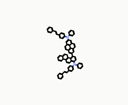 C1=CC2=CCc3c(ccc4c(N(c5ccccc5)c5ccc(C=Cc6ccccc6)cc5)ccc(-c5cc6ccc7cc(N(c8ccccc8)c8ccc(C=Cc9ccccc9)cc8)cc8ccc(c5)c6c78)c34)C2C=C1